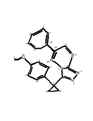 COc1ccc(C2(c3nnc4ncc(-c5ccccc5)nn34)CC2)cc1